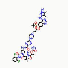 CNC(=O)OC(C)C(=O)NC(C(=O)N1C[C@@H](NC(=O)c2cnc(N3CCN(CCCOc4cc5ncnc(Nc6n[nH]c(C)c6C)c5cc4S(=O)(=O)C(C)(C)C)CC3)cn2)C[C@H]1C(=O)Nc1c(F)cccc1F)C(C)(C)C